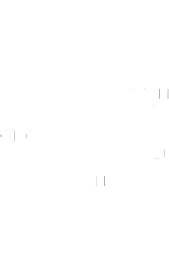 CCC(C(=O)O)C(O)CC=O